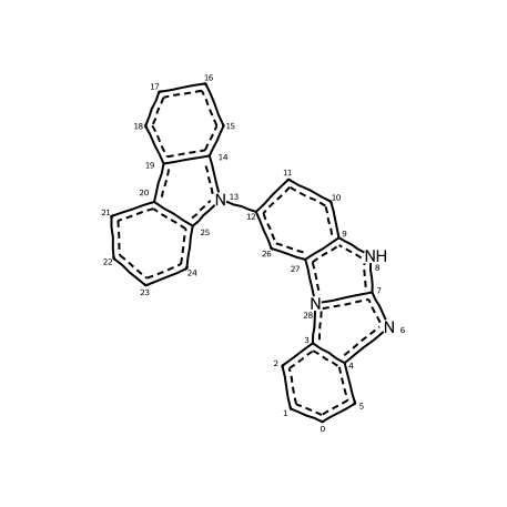 c1ccc2c(c1)nc1[nH]c3ccc(-n4c5ccccc5c5ccccc54)cc3n12